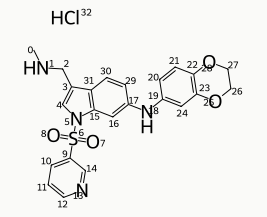 CNCc1cn(S(=O)(=O)c2cccnc2)c2cc(Nc3ccc4c(c3)OCCO4)ccc12.Cl